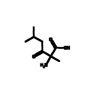 CC(C)CC(=O)C(C)(N)C(=O)O